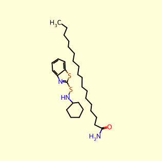 CCCCCCCCCCCCCCCCCC(N)=O.c1ccc2sc(SNC3CCCCC3)nc2c1